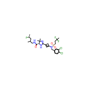 CC(CNC(=O)[C@@H]1NC(C23CC(N(Cc4ccc(Cl)c(Cl)c4)S(=O)(=O)CCC(C)(F)F)(C2)C3)=NC1(C)C)C[C@H](C)F